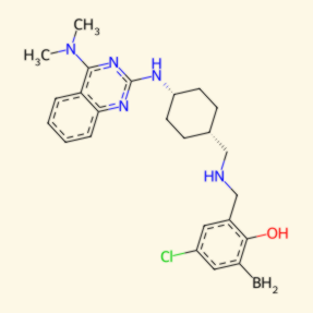 Bc1cc(Cl)cc(CNC[C@H]2CC[C@@H](Nc3nc(N(C)C)c4ccccc4n3)CC2)c1O